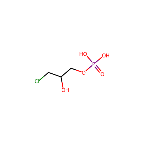 O=P(O)(O)OCC(O)CCl